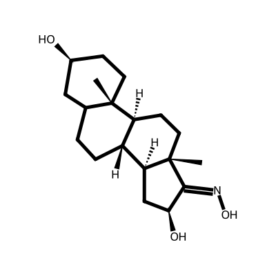 C[C@]12CC[C@H](O)CC1CC[C@@H]1[C@@H]2CC[C@]2(C)C(=NO)[C@@H](O)C[C@@H]12